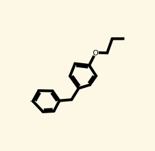 CCCOc1ccc(Cc2cc[c]cc2)cc1